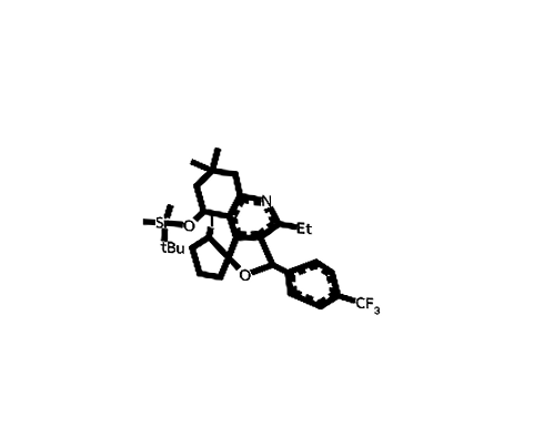 CCc1nc2c(c3c1C(c1ccc(C(F)(F)F)cc1)OC31CCCC1I)C(O[Si](C)(C)C(C)(C)C)CC(C)(C)C2